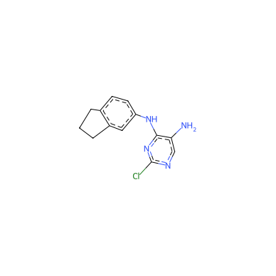 Nc1cnc(Cl)nc1Nc1ccc2c(c1)CCC2